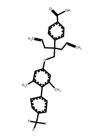 C=CCC(CC=C)(COc1cc(C)c(-c2ccc(C(F)(F)F)cc2)c(C)c1)c1ccc(C(=O)O)cc1